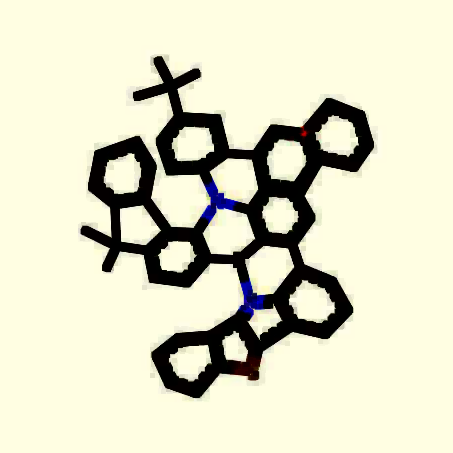 CC(C)(C)c1ccc(N2c3cc(-c4ccccc4)cc4c3B(c3ccc5c(c32)-c2ccccc2C5(C)C)n2c3c-4cccc3c3sc4ccccc4c32)c(-c2ccccc2)c1